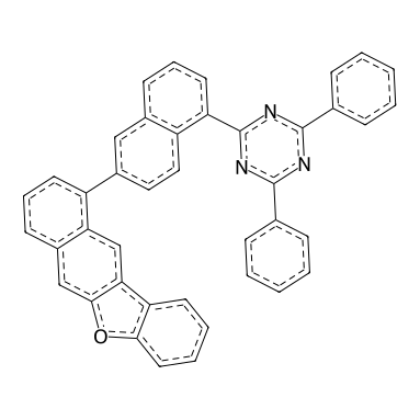 c1ccc(-c2nc(-c3ccccc3)nc(-c3cccc4cc(-c5cccc6cc7oc8ccccc8c7cc56)ccc34)n2)cc1